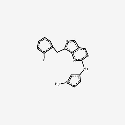 Cn1ccc(Nc2ncc3cnn(Cc4ccccc4F)c3n2)c1